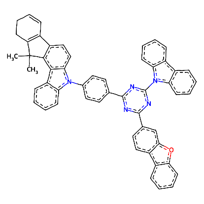 CC1(C)C2=C(C=CCC2)c2ccc3c(c21)c1ccccc1n3-c1ccc(-c2nc(-c3ccc4c(c3)oc3ccccc34)nc(-n3c4ccccc4c4ccccc43)n2)cc1